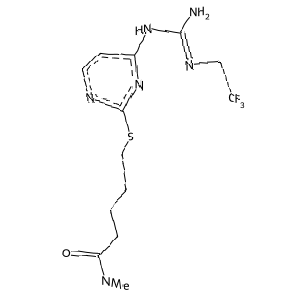 CNC(=O)CCCCSc1nccc(NC(N)=NCC(F)(F)F)n1